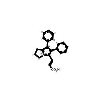 O=C(O)C=Cc1c(-c2ccccc2)c(-c2ccccc2)c2n1CCC2